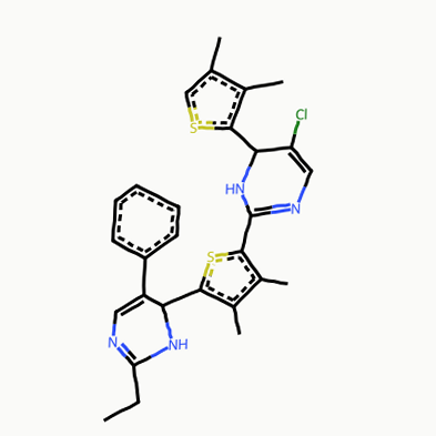 CCC1=NC=C(c2ccccc2)C(c2sc(C3=NC=C(Cl)C(c4scc(C)c4C)N3)c(C)c2C)N1